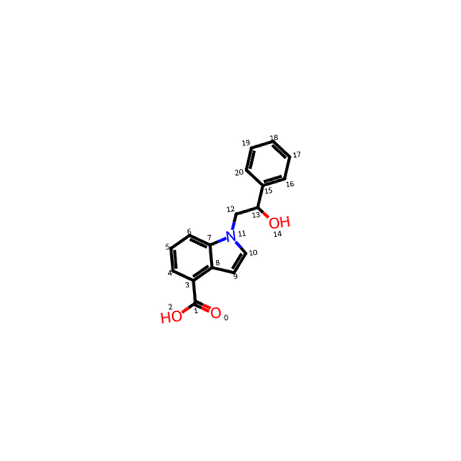 O=C(O)c1cccc2c1ccn2CC(O)c1ccccc1